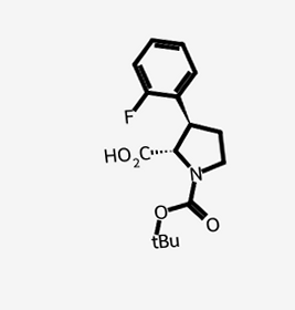 CC(C)(C)OC(=O)N1CC[C@H](c2ccccc2F)[C@H]1C(=O)O